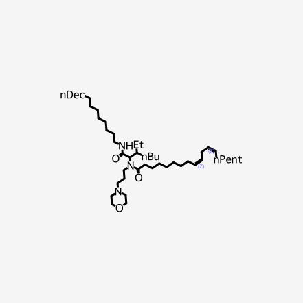 CCCCC/C=C\C/C=C\CCCCCCCC(=O)N(CCCN1CCOCC1)C(C(=O)NCCCCCCCCCCCCCCCCCC)C(CC)CCCC